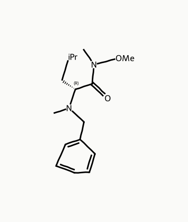 CON(C)C(=O)[C@@H](CC(C)C)N(C)Cc1ccccc1